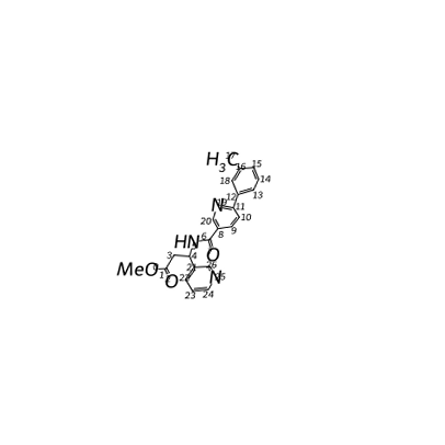 COC(=O)CC(NC(=O)c1ccc(-c2cccc(C)c2)nc1)c1cccnc1